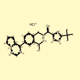 CC(C)(C)c1nc(C(=O)NCc2ccc(-c3ncnn4cccc34)cc2C(F)F)no1.Cl